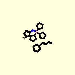 C1=CCC(N=P(C2CCCC2)(C2CCCC2)C2CCCC2)=C1.C=CC=Cc1ccccc1.[Ti]